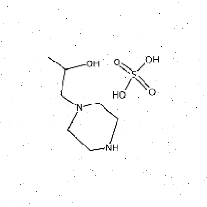 CC(O)CN1CCNCC1.O=S(=O)(O)O